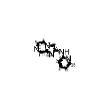 c1ccc(Nc2cn3ccncc3n2)nc1